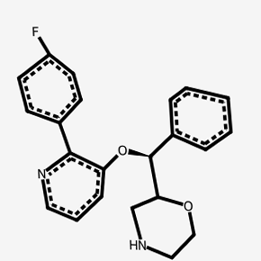 Fc1ccc(-c2ncccc2O[C@@H](c2ccccc2)C2CNCCO2)cc1